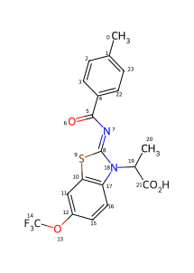 Cc1ccc(C(=O)N=c2sc3cc(OC(F)(F)F)ccc3n2C(C)C(=O)O)cc1